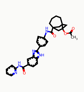 CC(=O)OC12CC3(C(=O)Nc4ccc(-c5nc6cc(C(=O)Nc7ccccn7)ccc6[nH]5)cc4)CCCCC1(C3)C2